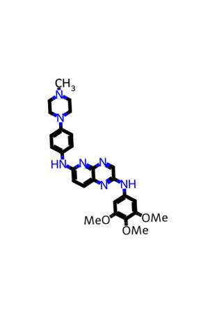 COc1cc(Nc2cnc3nc(Nc4ccc(N5CCN(C)CC5)cc4)ccc3n2)cc(OC)c1OC